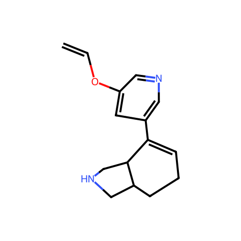 C=COc1cncc(C2=CCCC3CNCC23)c1